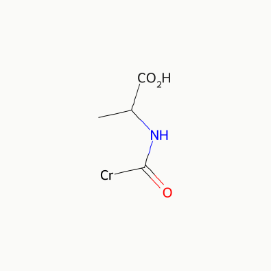 CC(N[C](=O)[Cr])C(=O)O